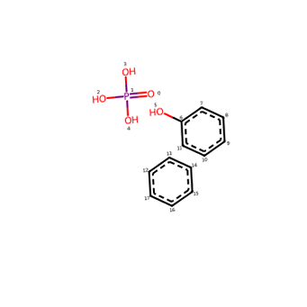 O=P(O)(O)O.Oc1ccccc1.c1ccccc1